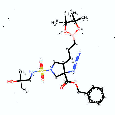 CC(C)(O)CNS(=O)(=O)N1CC(CCCB2OC(C)(C)C(C)(C)O2)C(N=[N+]=[N-])(C(=O)OCc2ccccc2)C1